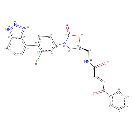 O=C(C=CC(=O)c1ccccc1)NC[C@H]1CN(c2ccc(-c3cccc4[nH]nnc34)c(F)c2)C(=O)O1